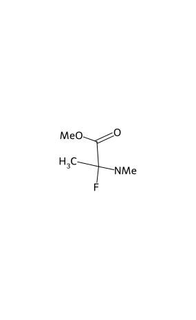 CNC(C)(F)C(=O)OC